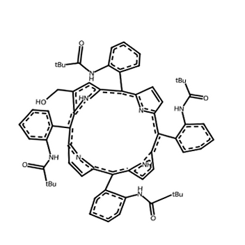 CC(C)(C)C(=O)Nc1ccccc1-c1c2nc(c(-c3ccccc3NC(=O)C(C)(C)C)c3cc(CO)c([nH]3)c(-c3ccccc3NC(=O)C(C)(C)C)c3nc(c(-c4ccccc4NC(=O)C(C)(C)C)c4ccc1[nH]4)C=C3)C=C2